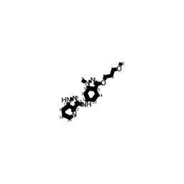 COCCCOc1nn(C)c2cc(Nc3n[nH]c4cccnc34)ccc12